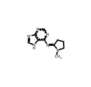 CN1CCCC1=Nc1ncnc2c1NC=[N+]2